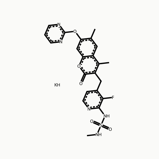 CNS(=O)(=O)Nc1nccc(Cc2c(C)c3cc(C)c(Oc4ncccn4)cc3oc2=O)c1F.[KH]